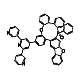 O=P1(c2ccccc2)c2ccccc2-c2ccccc2Oc2cc(-c3cc(-c4cccnc4)nc(-c4cccnc4)c3)ccc2-c2cc3c(cc21)oc1ccccc13